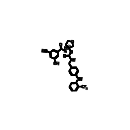 O=C(NCc1ccc(Nc2ccccc2C(F)(F)F)cc1)O[C@@]1(NC(=O)c2cc(O)cc(O)c2)CCOC1